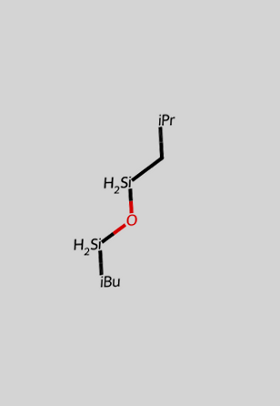 CCC(C)[SiH2]O[SiH2]CC(C)C